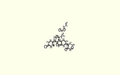 C=CCOC(=O)[C@@H]1C[C@H]1C(=O)N(C(=O)Nc1ccc(Cl)cn1)c1ccc(N2CCOCC2=O)cc1F